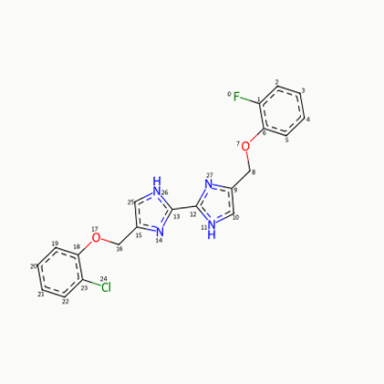 Fc1ccccc1OCc1c[nH]c(-c2nc(COc3ccccc3Cl)c[nH]2)n1